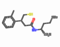 CSCC[C@H](NC(=O)CC(CS)c1ccccc1C)C(=O)O